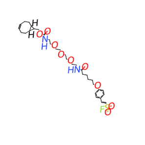 O=C(CCCCCOc1ccc(/C=C/S(=O)(=O)F)cc1)NCCOCCOCCOCCNC(=O)OCC1[C@H]2CCC#CCC[C@@H]12